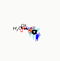 C=C(C)C(=O)OCCCNS(=O)(=O)c1c(F)c(F)c(N=[N+]=[N-])c(F)c1F